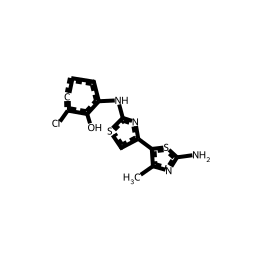 Cc1nc(N)sc1-c1csc(Nc2cccc(Cl)c2O)n1